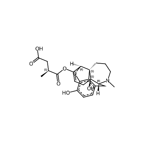 C[C@@H](CC(=O)O)C(=O)OC1=CC[C@@]2(O)[C@H]3Cc4ccc(O)c5c4[C@@]2(CCCN3C)[C@H]1O5